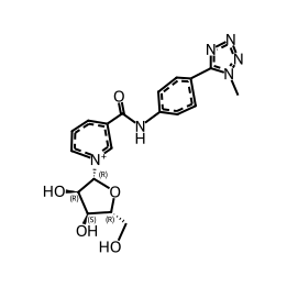 Cn1nnnc1-c1ccc(NC(=O)c2ccc[n+]([C@@H]3O[C@H](CO)[C@@H](O)[C@H]3O)c2)cc1